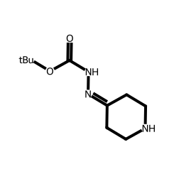 CC(C)(C)OC(=O)NN=C1CCNCC1